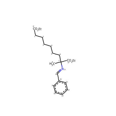 CCOC(=O)CCCCCCC(C)(N=Cc1ccccc1)C(=O)OCC